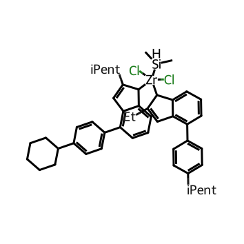 CCCC(C)C1=Cc2c(-c3ccc(C4CCCCC4)cc3)cccc2[CH]1[Zr]([Cl])([Cl])([CH]1C(CC)=Cc2c(-c3ccc(C(C)CCC)cc3)cccc21)[SiH](C)C